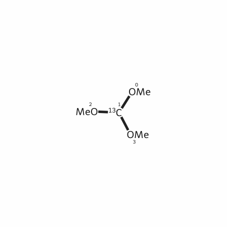 CO[13CH](OC)OC